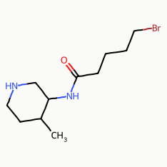 CC1CCNCC1NC(=O)CCCCBr